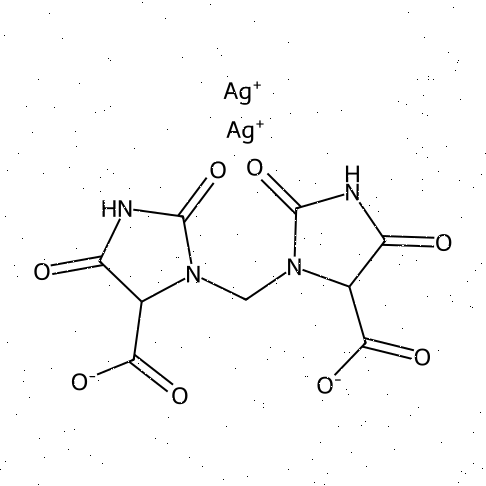 O=C([O-])C1C(=O)NC(=O)N1CN1C(=O)NC(=O)C1C(=O)[O-].[Ag+].[Ag+]